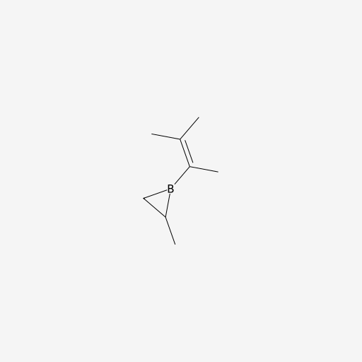 CC(C)=C(C)B1CC1C